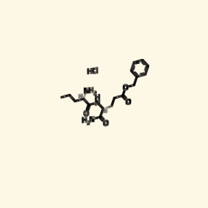 CCC[C@H](N)C(=O)N[C@H](CCC(=O)OCc1ccccc1)C(N)=O.Cl